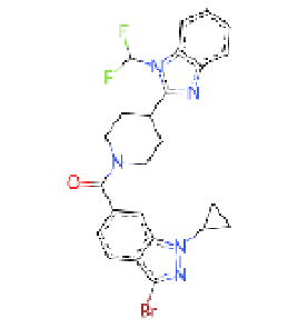 O=C(c1ccc2c(Br)nn(C3CC3)c2c1)N1CCC(c2nc3ccccc3n2C(F)F)CC1